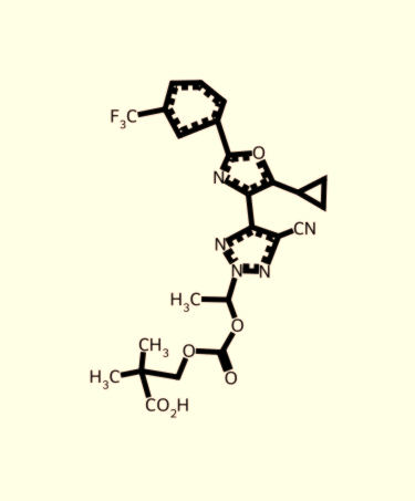 CC(OC(=O)OCC(C)(C)C(=O)O)n1nc(C#N)c(-c2nc(-c3cccc(C(F)(F)F)c3)oc2C2CC2)n1